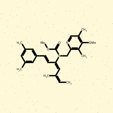 C\C=C(C)/C=C(\C=C\c1cc(C)cc(C)c1)N(Cc1ncc(C)c(OC)c1C)C(=O)OC(C)(C)C